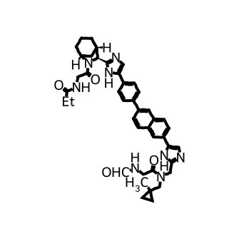 CCC(=O)NCC(=O)N1[C@@H]2CCC[C@@H](C2)[C@H]1c1ncc(-c2ccc(-c3ccc4cc(-c5cnc(CN(CC6(C)CC6)C(=O)CNC=O)[nH]5)ccc4c3)cc2)[nH]1